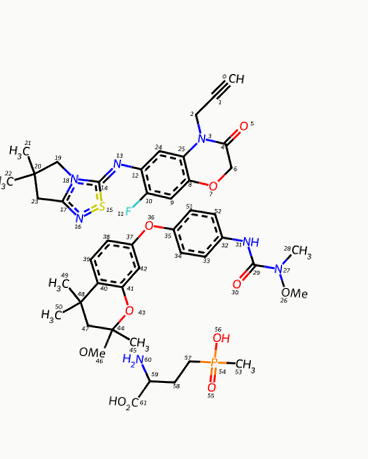 C#CCN1C(=O)COc2cc(F)c(/N=c3\snc4n3CC(C)(C)C4)cc21.CON(C)C(=O)Nc1ccc(Oc2ccc3c(c2)OC(C)(OC)CC3(C)C)cc1.CP(=O)(O)CCC(N)C(=O)O